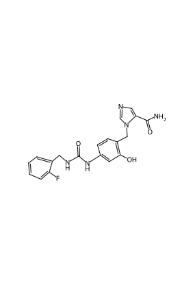 NC(=O)c1cncn1Cc1ccc(NC(=O)NCc2ccccc2F)cc1O